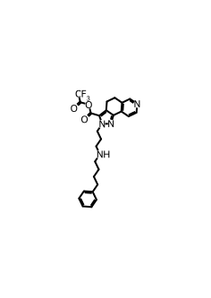 O=C(OC(=O)C(F)(F)F)c1c2c(nn1CCCNCCCCc1ccccc1)-c1ccncc1CC2